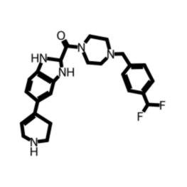 O=C(C1Nc2ccc(C3=CCNCC3)cc2N1)N1CCN(Cc2ccc(C(F)F)cc2)CC1